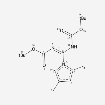 Cc1cc(C)n(/C(=N\C(=O)OC(C)(C)C)NC(=O)OC(C)(C)C)n1